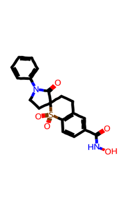 O=C(NO)c1ccc2c(c1)CCC1(CCN(c3ccccc3)C1=O)S2(=O)=O